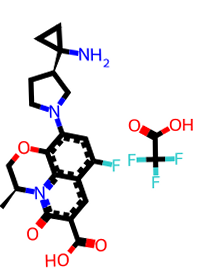 C[C@H]1COc2c(N3CC[C@@H](C4(N)CC4)C3)cc(F)c3cc(C(=O)O)c(=O)n1c23.O=C(O)C(F)(F)F